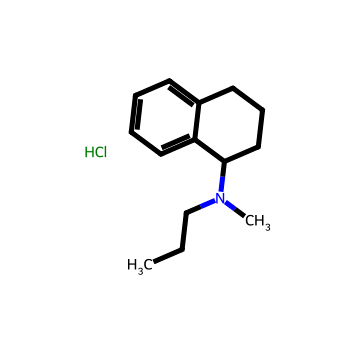 CCCN(C)C1CCCc2ccccc21.Cl